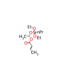 CC=CC(=O)OC(C)O[Si](CCC)(OCC)OCC